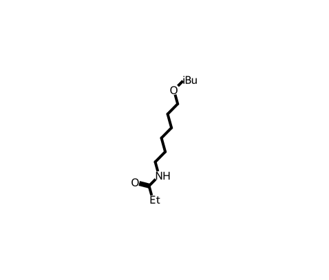 CCC(=O)NCCCCCCOC(C)CC